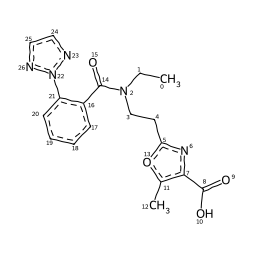 CCN(CCc1nc(C(=O)O)c(C)o1)C(=O)c1ccccc1-n1nccn1